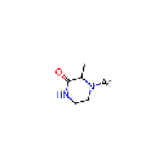 CC(=O)N1CCNC(=O)C1C